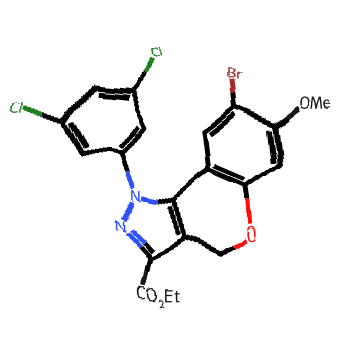 CCOC(=O)c1nn(-c2cc(Cl)cc(Cl)c2)c2c1COc1cc(OC)c(Br)cc1-2